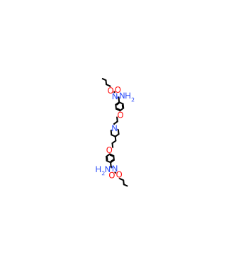 CCCCOC(=O)N=C(N)c1ccc(OCCCC2CCN(CCCOc3ccc(C(N)=NC(=O)OCCCC)cc3)CC2)cc1